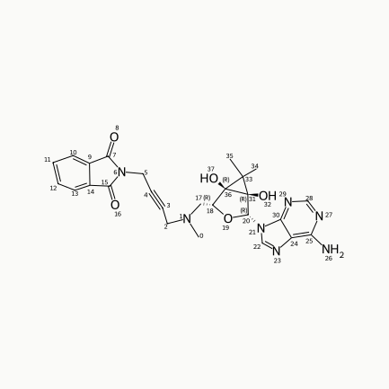 CN(CC#CCN1C(=O)c2ccccc2C1=O)C[C@H]1O[C@@H](n2cnc3c(N)ncnc32)[C@@]2(O)C(C)(C)[C@@]12O